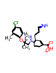 Cc1cc(Cl)ccc1OC(C)(C)CNc1ccc(C(=O)O)cc1CCC=N